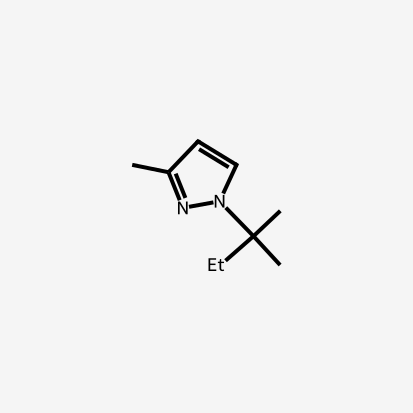 CCC(C)(C)n1ccc(C)n1